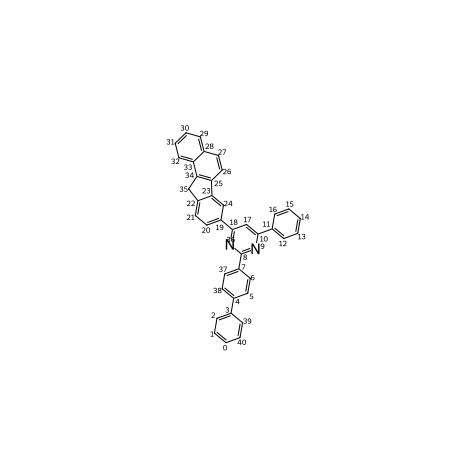 c1ccc(-c2ccc(-c3nc(-c4ccccc4)cc(-c4ccc5c(c4)-c4ccc6ccccc6c4C5)n3)cc2)cc1